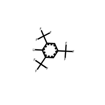 [Li][c]1c(C(F)(F)F)cc(C(F)(F)F)cc1C(F)(F)F